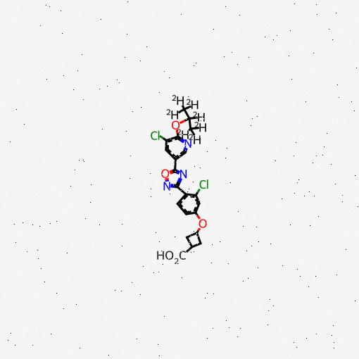 [2H]C([2H])([2H])C([2H])(Oc1ncc(-c2nc(-c3ccc(OC4CC(C(=O)O)C4)cc3Cl)no2)cc1Cl)C([2H])([2H])[2H]